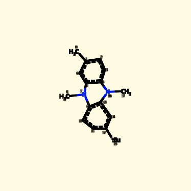 Cc1ccc2c(c1)N(C)c1ccc(C(C)(C)C)cc1N2C